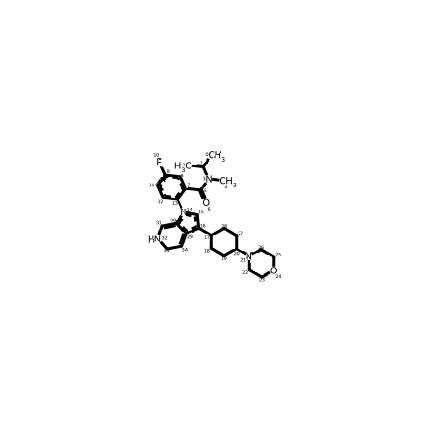 CC(C)N(C)C(=O)c1cc(F)ccc1-n1cc(C2CCC(N3CCOCC3)CC2)c2c1=CNCC=2